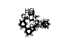 CN1CCN(C(=O)c2cccc(-c3cccc4cc(C(=O)N[C@@H]5CN6CCC5CC6)oc34)c2)CC1.Cl.Cl